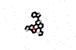 [c]1c(-c2csc3ccccc23)nc2ccc(-c3ccco3)c(-c3cccs3)c2c1-c1ccc2occc2c1